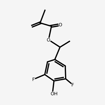 C=C(C)C(=O)OC(C)c1cc(F)c(O)c(F)c1